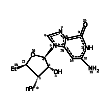 CCC[C@H]1[C@@H](O)[C@H](n2cnc3c(=O)[nH]c(N)cc32)O[C@@H]1CC